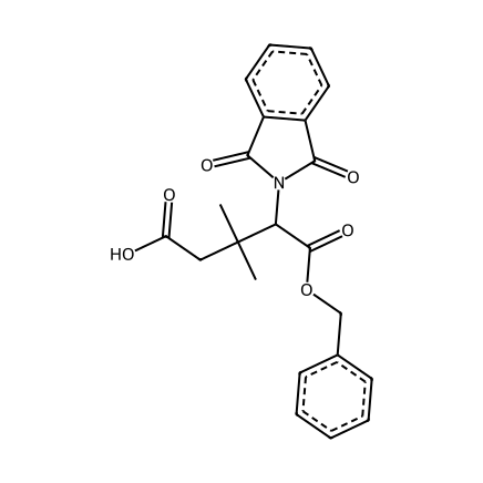 CC(C)(CC(=O)O)C(C(=O)OCc1ccccc1)N1C(=O)c2ccccc2C1=O